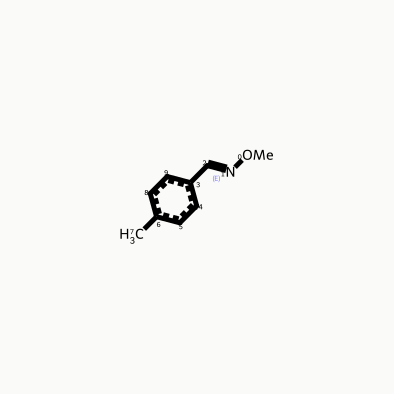 CO/N=C/c1[c]cc(C)cc1